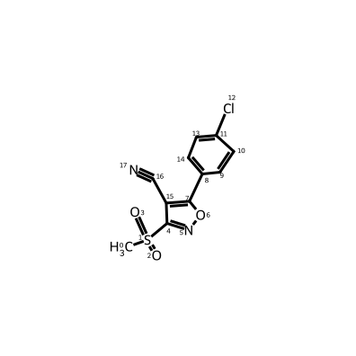 CS(=O)(=O)c1noc(-c2ccc(Cl)cc2)c1C#N